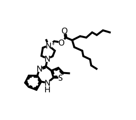 CCCCCCC(CCCCCC)C(=O)OC[N+]1(C)CCN(C2=Nc3ccccc3Nc3sc(C)cc32)CC1